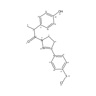 CC(C(=O)N1CCC(c2ccc(SCl)cc2)=N1)c1ccc(O)cc1